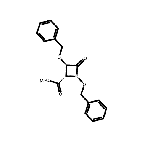 COC(=O)[C@@H]1[C@@H](OCc2ccccc2)C(=O)N1OCc1ccccc1